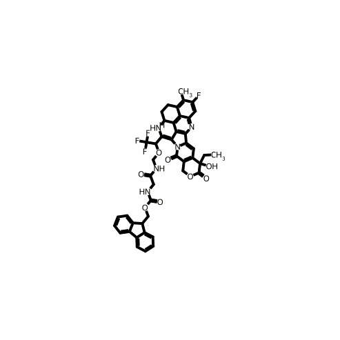 CCC1(O)C(=O)OCc2c1cc1c3nc4cc(F)c(C)c5c4c4c3c(n1c2=O)=C(C(OCNC(=O)CNC(=O)OCC1c2ccccc2-c2ccccc21)C(F)(F)F)N[C@H]4CC5